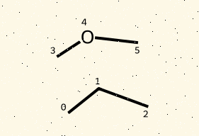 CCC.COC